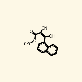 CCCOC(=O)C(C#N)=C(O)c1cccc2ccccc12